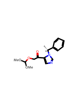 COC(OC)OCC(=O)c1cncn1[C@H](C)c1ccccc1